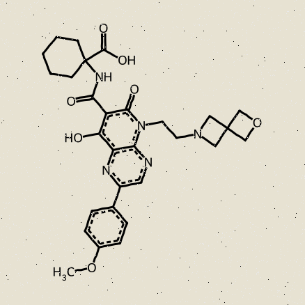 COc1ccc(-c2cnc3c(n2)c(O)c(C(=O)NC2(C(=O)O)CCCCC2)c(=O)n3CCN2CC3(COC3)C2)cc1